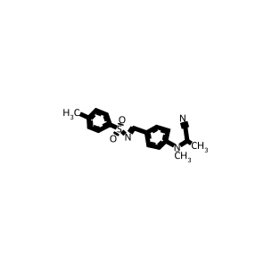 Cc1ccc(S(=O)(=O)N=Cc2ccc(N(C)C(C)C#N)cc2)cc1